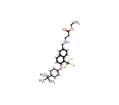 CCOC(=O)CCNCc1ccc2c(C(F)(F)F)c(OC3CCC(C(C)(C)C)CC3)ccc2c1